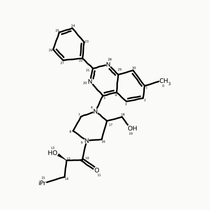 Cc1ccc2c(N3CCN(C(=O)[C@H](O)CC(C)C)CC3CO)nc(-c3ccccc3)nc2c1